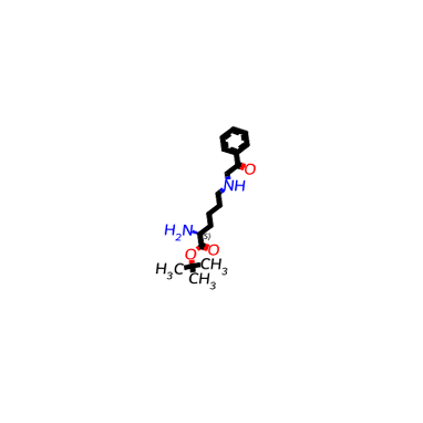 CC(C)(C)OC(=O)[C@@H](N)CCCCNCC(=O)c1ccccc1